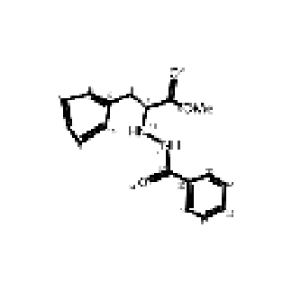 COC(=O)[C@H](Cc1ccccc1)NNC(=O)c1ccccc1